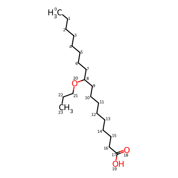 CCCCCCCCC(CCCCCCCCC(=O)O)OCCC